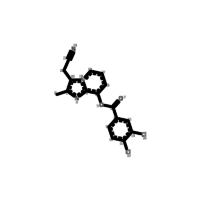 Cc1nc2c(OC(=O)c3ccc(Cl)c(Cl)c3)cccn2c1CC#N